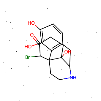 O=C1CCC2(O)C3Cc4ccc(O)c(O)c4C2(CCN3)C1Br